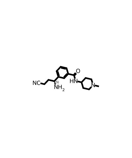 CN1CCC(NC(=O)c2cccc([C@@H](N)CCC#N)c2)CC1